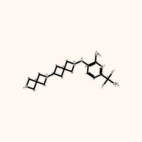 Cc1nc(C(C)(F)F)ccc1SN1CC2(CC(N3CC4(COC4)C3)C2)C1